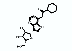 O=C(Nc1ncnc2c([C@@H]3N[C@H](CO)[C@@H](O)[C@H]3O)c[nH]c12)C1CCCCC1